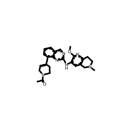 COc1nc2c(cc1Nc1ncc3cccc(C4=CCN(C(C)=O)CC4)c3n1)CN(C)CC2